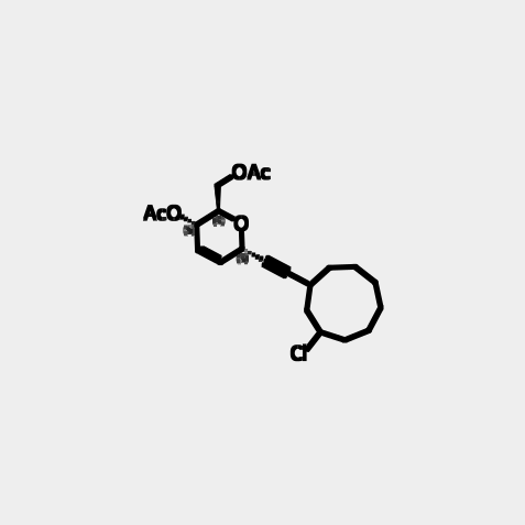 CC(=O)OC[C@H]1O[C@H](C#CC2CCCCCCC(Cl)C2)C=C[C@@H]1OC(C)=O